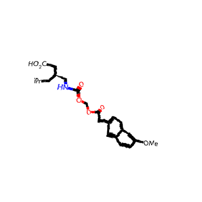 COc1ccc2cc(CC(=O)OCOC(=O)NC[C@H](CC(=O)O)CC(C)C)ccc2c1